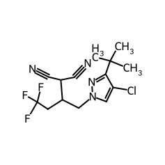 CC(C)(C)c1nn(CC(CC(F)(F)F)C(C#N)C#N)cc1Cl